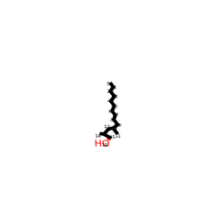 CCCCCCCCCCC(C)CC(C)CO